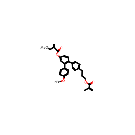 C=C(C)C(=O)OCCCc1ccc(-c2ccc(OC(=O)C(=C)COC)cc2-c2ccc(OCCC)cc2)cc1